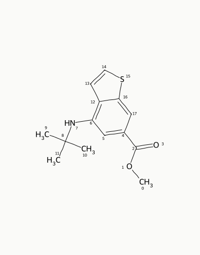 COC(=O)c1cc(NC(C)(C)C)c2ccsc2c1